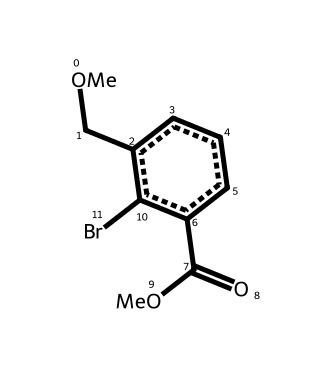 COCc1cccc(C(=O)OC)c1Br